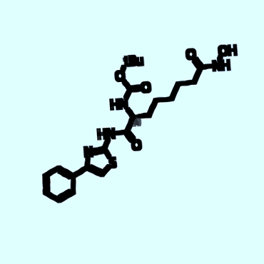 CC(C)(C)OC(=O)N[C@@H](CCCCCC(=O)NO)C(=O)Nc1nc(-c2ccccc2)cs1